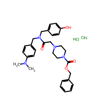 CN(C)c1ccc(CN(Cc2ccc(O)cc2)C(=O)CN2CCN(C(=O)OCc3ccccc3)CC2)cc1.Cl.Cl